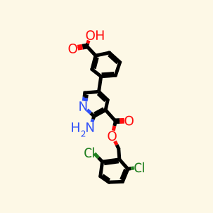 Nc1ncc(-c2cccc(C(=O)O)c2)cc1C(=O)OCc1c(Cl)cccc1Cl